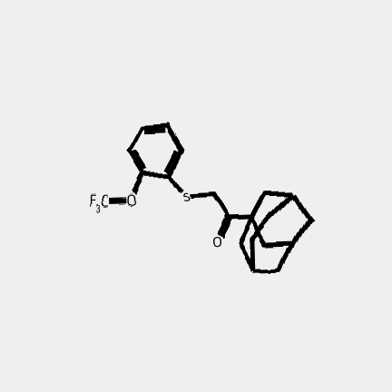 O=C(CSc1ccccc1OC(F)(F)F)C12CC3CC(CC(C3)C1)C2